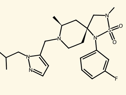 CC(C)Cn1nccc1CN1CC[C@@]2(C[C@@H]1C)CN(C)S(=O)(=O)N2c1cccc(F)c1